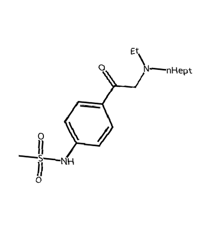 CCCCCCCN(CC)CC(=O)c1ccc(NS(C)(=O)=O)cc1